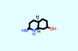 N=C1CC[C@H]2CCC(O)C[C@@H]2N1